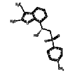 Cc1ccc(S(=O)(=O)C[C@H](O)c2cccc3c(C)c(C)oc23)cc1